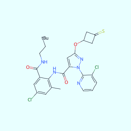 Cc1cc(Cl)cc(C(=O)NCCC(C)(C)C)c1NC(=O)c1cc(OC2CC(=S)C2)nn1-c1ncccc1Cl